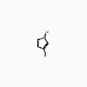 CC(=O)n1ccc(F)c1